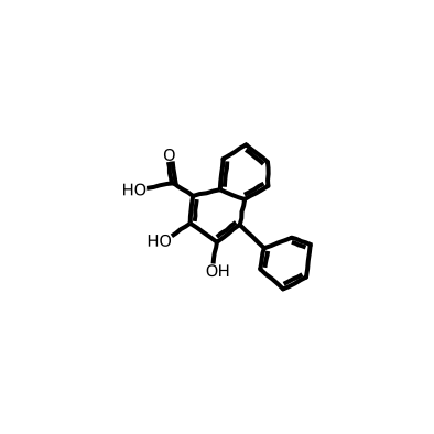 O=C(O)c1c(O)c(O)c(-c2ccccc2)c2ccccc12